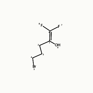 OC(CCCBr)=C(F)F